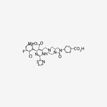 COC(=O)C1=C(CN2CCN3C(=O)N(c4ccc(C(=O)O)cc4)CC3C2)NC(c2nccs2)=N[C@H]1c1cccc(F)c1Cl